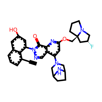 C#Cc1cccc2cc(O)cc(-n3ncc4c(N5CC6CCC(C5)N6)cc(OC[C@@]56CCCN5C[C@H](F)C6)nc4c3=O)c12